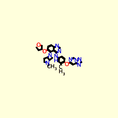 Cc1cc(Nc2ncnc3ccc(O[C@H]4CCOC4)c(N4CC5C4CCN5C)c23)ccc1Oc1cc2ncnn2cn1